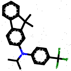 CC(C)N(c1ccc(C(F)(F)F)cc1)c1ccc2c(c1)C(C)(C)c1ccccc1-2